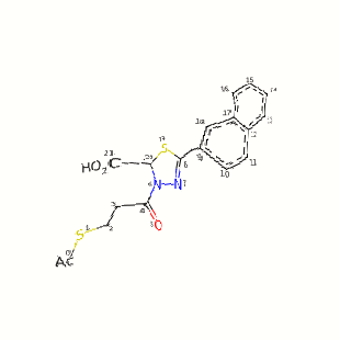 CC(=O)SCCC(=O)N1N=C(c2ccc3ccccc3c2)SC1C(=O)O